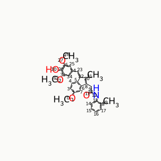 COc1ccc2c(c1)C(CC(=O)Nc1ccccc1C)=C(C)/C2=C/c1cc(OC)c(O)c(OC)c1